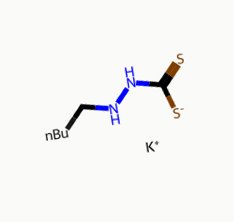 CCCCCNNC(=S)[S-].[K+]